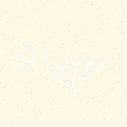 O=c1cc(COc2cccc(C(F)(F)F)c2)[nH]c2nc(C(F)(F)F)nn12